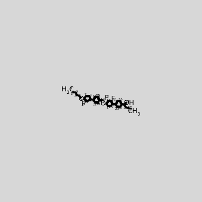 C=CCCCOc1ccc(-c2ccc(COc3ccc(-c4ccc(C(O)CCC)cc4)c(F)c3F)cc2)cc1F